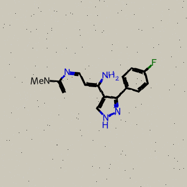 C=C(/N=C\C=C(/N)c1c[nH]nc1-c1ccc(F)cc1)NC